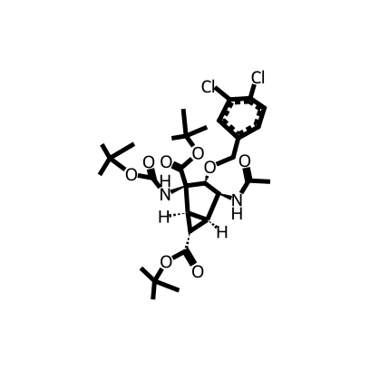 CC(=O)N[C@H]1[C@H]2[C@H](C(=O)OC(C)(C)C)[C@H]2[C@](NC(=O)OC(C)(C)C)(C(=O)OC(C)(C)C)[C@@H]1OCc1ccc(Cl)c(Cl)c1